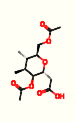 CC(=O)OC[C@H]1O[C@H](CC(=O)O)[C@@H](OC(C)=O)[C@@H](C)[C@@H]1C